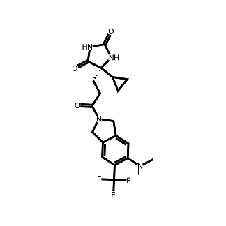 CNc1cc2c(cc1C(F)(F)F)CN(C(=O)CC[C@@]1(C3CC3)NC(=O)NC1=O)C2